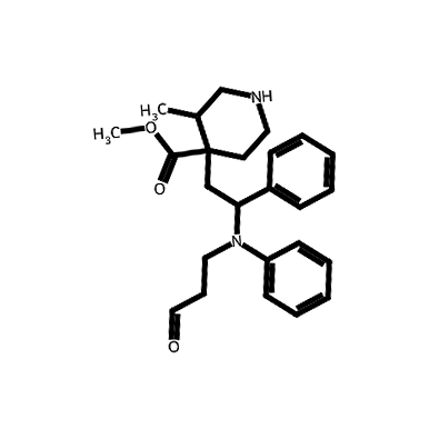 COC(=O)C1(CC(c2ccccc2)N(CCC=O)c2ccccc2)CCNCC1C